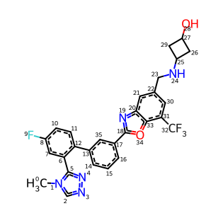 Cn1cnnc1-c1cc(F)ccc1-c1cccc(-c2nc3cc(CNC4CC(O)C4)cc(C(F)(F)F)c3o2)c1